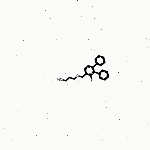 OCCCOCc1ccc(-c2ccccc2)c(-c2ccccc2)c1F